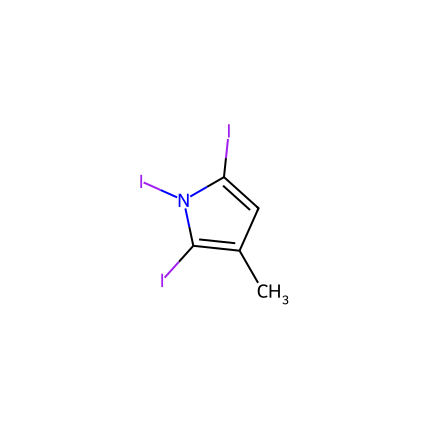 Cc1cc(I)n(I)c1I